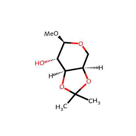 CO[C@H]1OC[C@H]2OC(C)(C)O[C@H]2[C@@H]1O